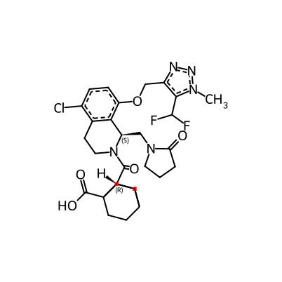 Cn1nnc(COc2ccc(Cl)c3c2[C@@H](CN2CCCC2=O)N(C(=O)[C@@H]2CC4CCC2(C(=O)O)CC4)CC3)c1C(F)F